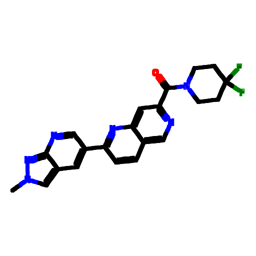 Cn1cc2cc(-c3ccc4cnc(C(=O)N5CCC(F)(F)CC5)cc4n3)cnc2n1